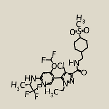 CCn1nc(C(=O)NCC2CCC(S(C)(=O)=O)CC2)c(Cl)c1-c1cnc(N[C@H](C)C(F)(F)F)cc1OC(F)F